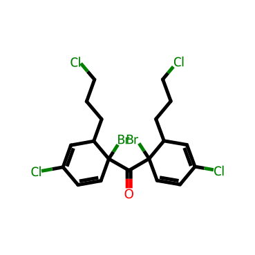 O=C(C1(Br)C=CC(Cl)=CC1CCCCl)C1(Br)C=CC(Cl)=CC1CCCCl